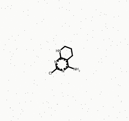 Nc1nc(Cl)nc2c1CCCN2